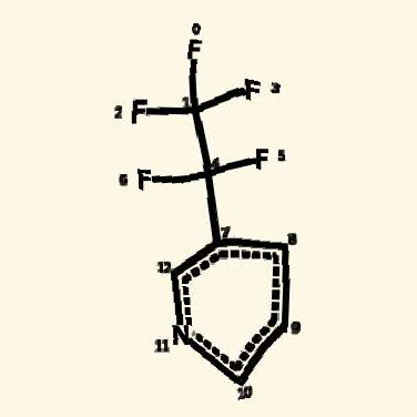 FC(F)(F)C(F)(F)c1c[c]cnc1